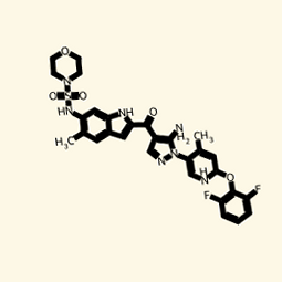 CC1=CC(Oc2c(F)cccc2F)NC=C1n1ncc(C(=O)c2cc3cc(C)c(NS(=O)(=O)N4CCOCC4)cc3[nH]2)c1N